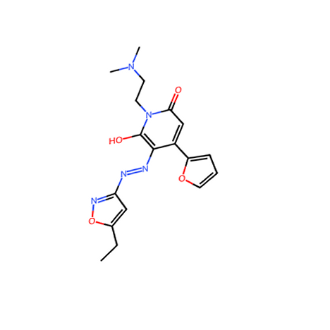 CCc1cc(N=Nc2c(-c3ccco3)cc(=O)n(CCN(C)C)c2O)no1